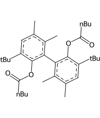 CCCCC(=O)Oc1c(C(C)(C)C)cc(C)c(C)c1-c1c(C)c(C)cc(C(C)(C)C)c1OC(=O)CCCC